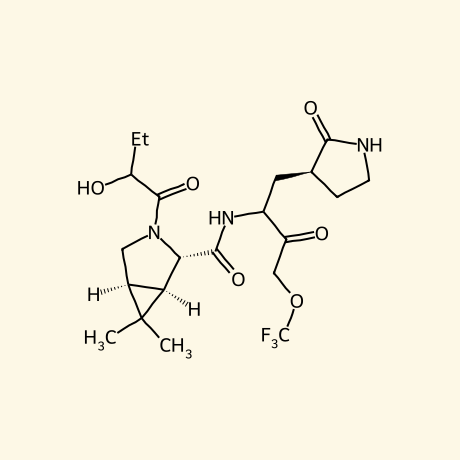 CCC(O)C(=O)N1C[C@H]2[C@@H]([C@H]1C(=O)NC(C[C@@H]1CCNC1=O)C(=O)COC(F)(F)F)C2(C)C